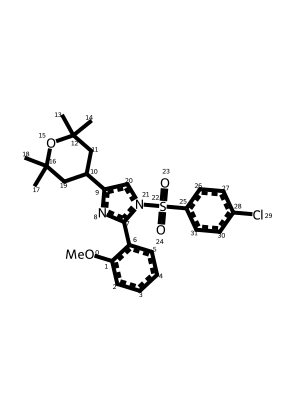 COc1ccccc1-c1nc(C2CC(C)(C)OC(C)(C)C2)cn1S(=O)(=O)c1ccc(Cl)cc1